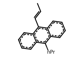 CC=Cc1c2ccccc2c(CCC)c2ccccc12